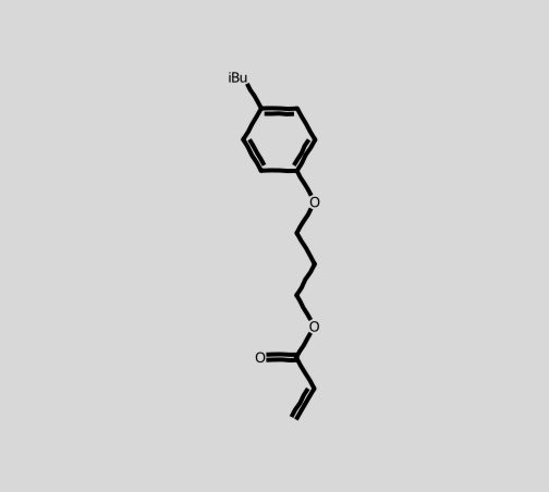 C=CC(=O)OCCCOc1ccc(C(C)CC)cc1